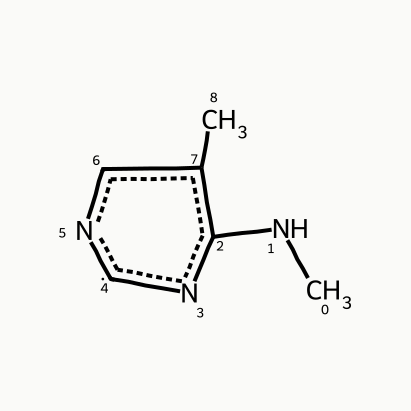 CNc1n[c]ncc1C